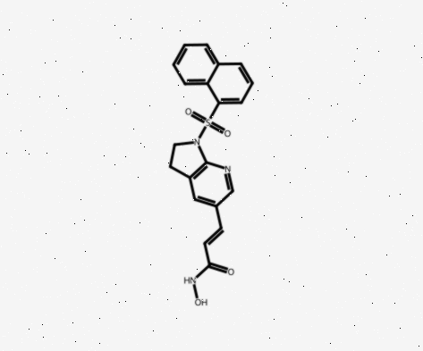 O=C(C=Cc1cnc2c(c1)CCN2S(=O)(=O)c1cccc2ccccc12)NO